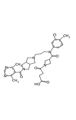 Cc1ccc(N(CCCN2CC3CN(C(=O)c4c(C)ncnc4C)CC3C2)C(=O)C2CN(C(=O)CCC(=O)O)C2)cc1Cl